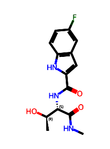 CNC(=O)[C@@H](NC(=O)c1cc2cc(F)ccc2[nH]1)[C@@H](C)O